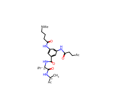 CNCCCC(=O)Nc1cc(NC(=O)CCC(C)=O)cc(C(=O)N[C@H](C(=O)N[C@@H](C)C(C)=O)C(C)C)c1